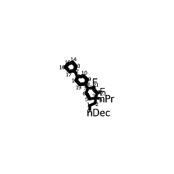 CCCCCCCCCCCCC1(CCC)C=CC(c2ccc(-c3ccccc3)cc2)C(F)=C1F